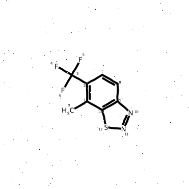 Cc1c(C(F)(F)F)ccc2nnsc12